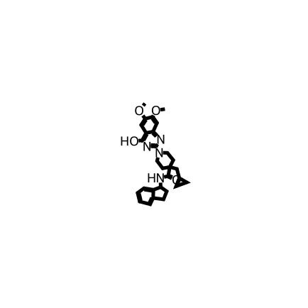 COc1cc2nc(N3CCC(CC4CC4)(C(=O)NC4CCc5ccccc54)CC3)nc(O)c2cc1OC